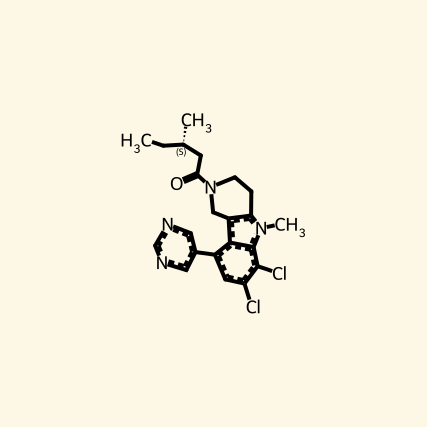 CC[C@H](C)CC(=O)N1CCc2c(c3c(-c4cncnc4)cc(Cl)c(Cl)c3n2C)C1